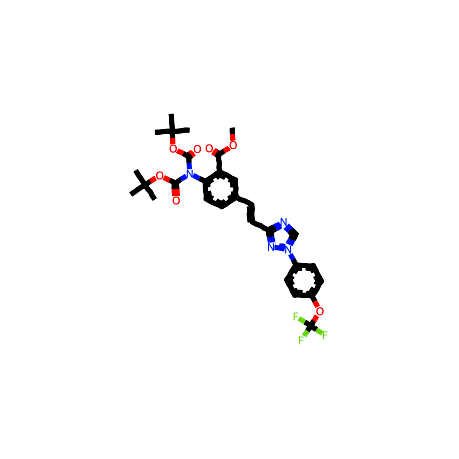 COC(=O)c1cc(/C=C/c2ncn(-c3ccc(OC(F)(F)F)cc3)n2)ccc1N(C(=O)OC(C)(C)C)C(=O)OC(C)(C)C